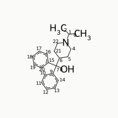 CC(C)N1CCC(C(O)(c2ccccc2)c2ccccc2)CC1